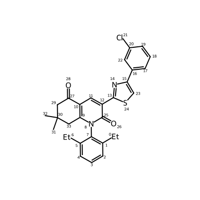 CCc1cccc(CC)c1-n1c2c(cc(-c3nc(-c4cccc(Cl)c4)cs3)c1=O)C(=O)CC(C)(C)C2